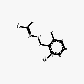 CCC(C)=NOCc1c(C)cccc1N